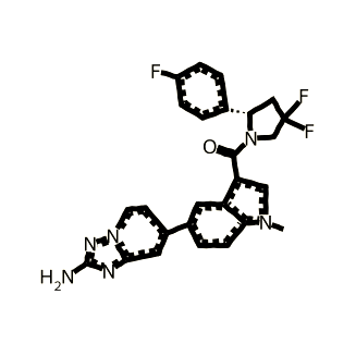 Cn1cc(C(=O)N2CC(F)(F)C[C@H]2c2ccc(F)cc2)c2cc(-c3ccn4nc(N)nc4c3)ccc21